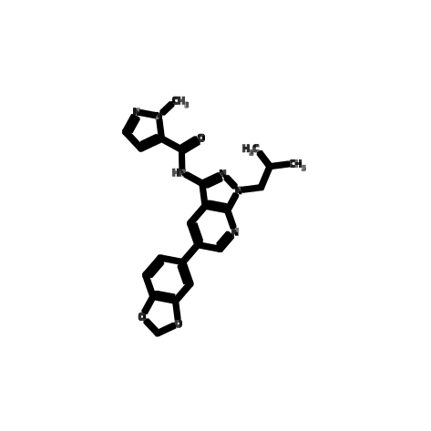 CC(C)Cn1nc(NC(=O)c2ccnn2C)c2cc(-c3ccc4c(c3)OCO4)cnc21